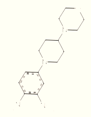 Nc1ccc(N2CCC(N3CCOCC3)CC2)cc1[N+](=O)[O-]